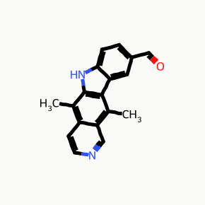 Cc1c2ccncc2c(C)c2c1[nH]c1ccc(C=O)cc12